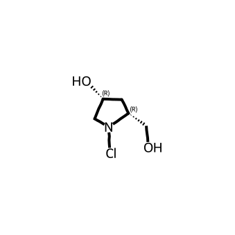 OC[C@H]1C[C@@H](O)CN1Cl